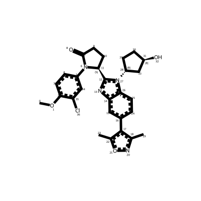 COc1ccc(N2C(=O)CC[C@H]2c2nc3cc(-c4c(C)noc4C)ccc3n2[C@@H]2CC[C@@H](O)C2)cc1Cl